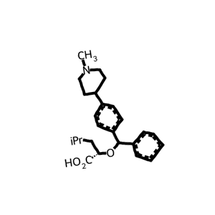 CC(C)C[C@H](OC(c1ccccc1)c1ccc(C2CCN(C)CC2)cc1)C(=O)O